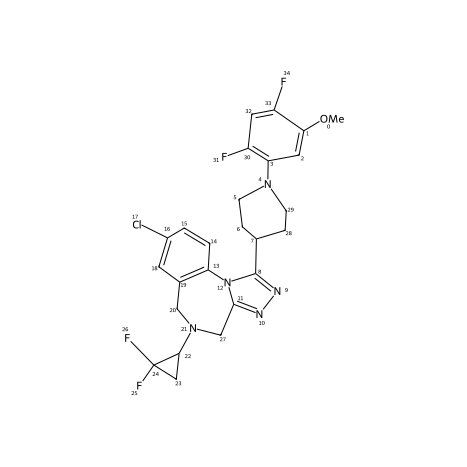 COc1cc(N2CCC(c3nnc4n3-c3ccc(Cl)cc3CN(C3CC3(F)F)C4)CC2)c(F)cc1F